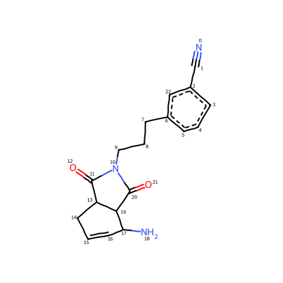 N#Cc1cccc(CCCN2C(=O)C3CC=CC(N)C3C2=O)c1